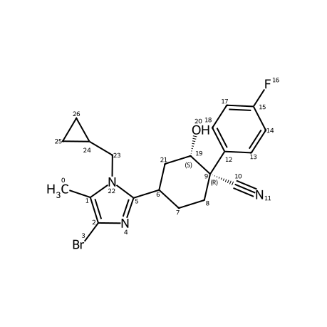 Cc1c(Br)nc(C2CC[C@](C#N)(c3ccc(F)cc3)[C@@H](O)C2)n1CC1CC1